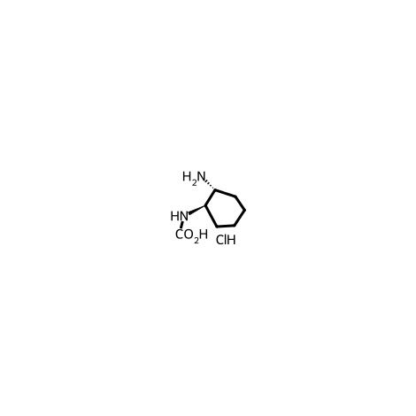 Cl.N[C@@H]1CCCC[C@H]1NC(=O)O